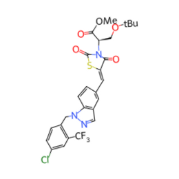 COC(=O)[C@@H](COC(C)(C)C)N1C(=O)S/C(=C\c2ccc3c(cnn3Cc3ccc(Cl)cc3C(F)(F)F)c2)C1=O